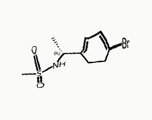 C[C@@H](NS(C)(=O)=O)C1=CC=C(Br)CC1